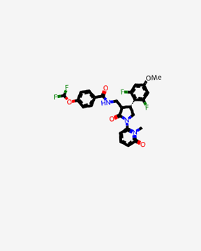 COc1cc(F)c([C@@H]2CN(c3cccc(=O)n3C)C(=O)C2CNC(=O)c2ccc(OC(F)F)cc2)c(F)c1